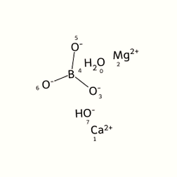 O.[Ca+2].[Mg+2].[O-]B([O-])[O-].[OH-]